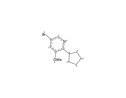 COc1cc(Br)cnc1C1CCCC1